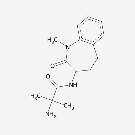 CN1C(=O)C(NC(=O)C(C)(C)N)CCc2ccccc21